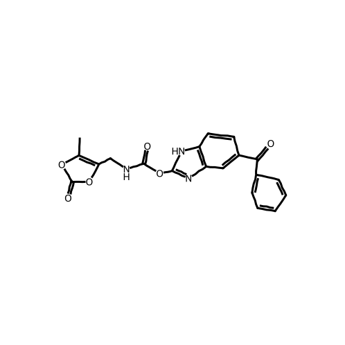 Cc1oc(=O)oc1CNC(=O)Oc1nc2cc(C(=O)c3ccccc3)ccc2[nH]1